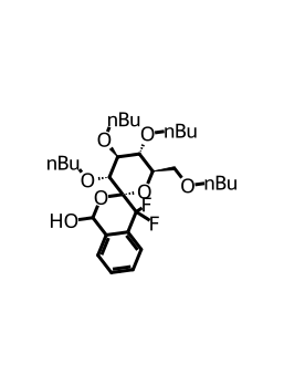 CCCCOC[C@H]1O[C@]2(OC(O)c3ccccc3C2(F)F)[C@H](OCCCC)[C@@H](OCCCC)[C@@H]1OCCCC